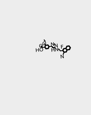 CCOc1cc(-c2cc(NCCc3c(C#N)cc4ccccc4c3F)ncn2)ccc1C(=O)O